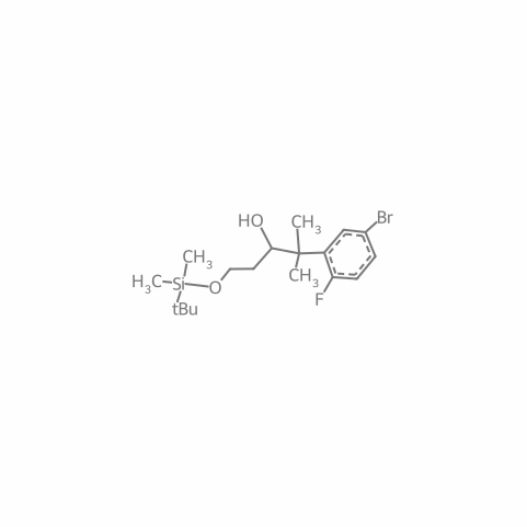 CC(C)(c1cc(Br)ccc1F)C(O)CCO[Si](C)(C)C(C)(C)C